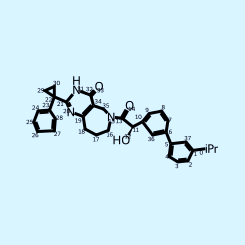 CC(C)c1cccc(-c2cccc([C@@H](O)C(=O)N3CCCc4nc(C5(c6ccccc6)CC5)[nH]c(=O)c4C3)c2)c1